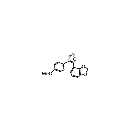 COc1ccc(-c2cnoc2-c2cccc3c2OCO3)cc1